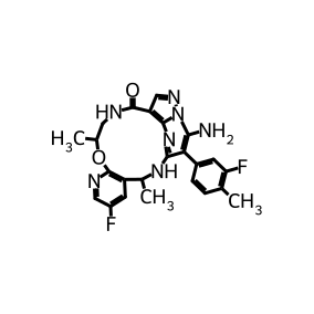 Cc1ccc(-c2c3nc4c(cnn4c2N)C(=O)NCC(C)Oc2ncc(F)cc2C(C)N3)cc1F